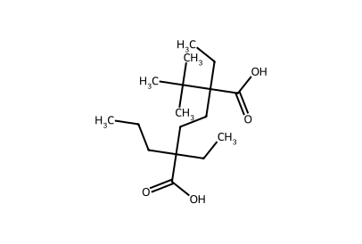 CCCC(CC)(CCC(CC)(C(=O)O)C(C)(C)C)C(=O)O